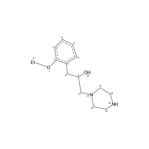 CCOc1ccccc1CC(O)CN1CCNCC1